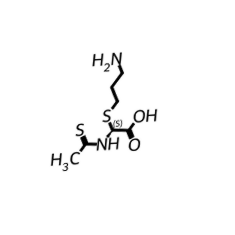 CC(=S)N[C@@H](SCCCN)C(=O)O